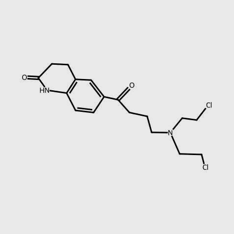 O=C1CCc2cc(C(=O)CCCN(CCCl)CCCl)ccc2N1